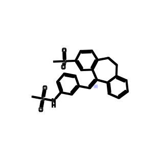 CS(=O)(=O)Nc1cccc(/C=C2/c3ccccc3CCc3ccc(S(C)(=O)=O)cc32)c1